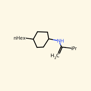 C=C(NC1CCC(CCCCCC)CC1)C(C)C